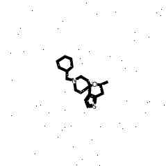 CC1Cc2sccc2C2(CCN(CC3CCCCC3)CC2)O1